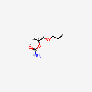 CCCOCC(C)OC(N)=O